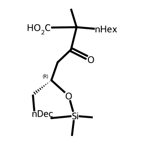 CCCCCCCCCCC[C@H](CC(=O)C(C)(CCCCCC)C(=O)O)O[Si](C)(C)C